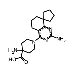 Nc1nc(N2CCC(N)(C(=O)O)CC2)c2c(n1)C1(CCCC1)CCC2